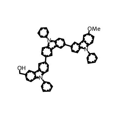 COc1ccc2c(c1)c1cc(-c3ccc4c(c3)c3cc(-c5ccc6c(c5)c5cc(CO)ccc5n6-c5ccccc5)ccc3n4-c3ccccc3)ccc1n2-c1ccccc1